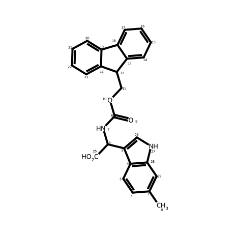 Cc1ccc2c(C(NC(=O)OCC3c4ccccc4-c4ccccc43)C(=O)O)c[nH]c2c1